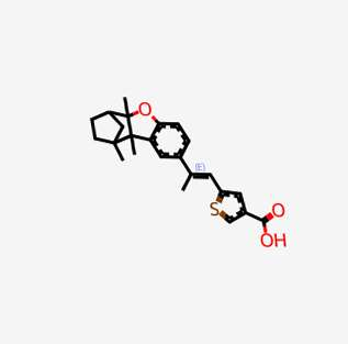 C/C(=C\c1cc(C(=O)O)cs1)c1ccc2c(c1)C1(C)C3(C)CCC(C3)C1(C)O2